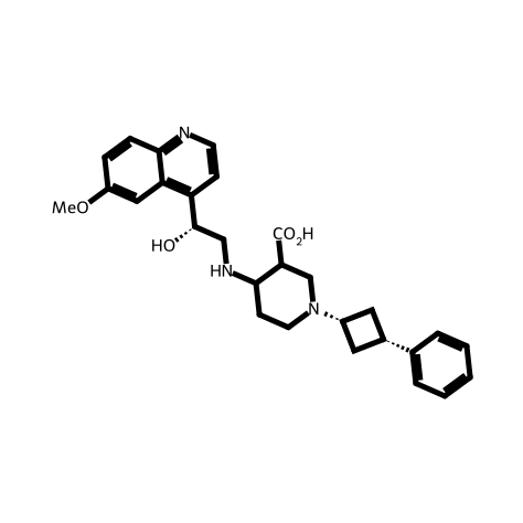 COc1ccc2nccc([C@@H](O)CNC3CCN([C@H]4C[C@@H](c5ccccc5)C4)CC3C(=O)O)c2c1